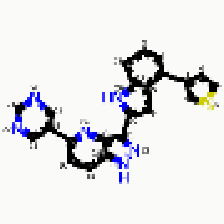 c1cc(-c2ccsc2)c2cc(-c3n[nH]c4ccc(-c5cncnc5)nc34)[nH]c2c1